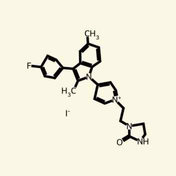 Cc1ccc2c(c1)c(-c1ccc(F)cc1)c(C)n2-c1cc[n+](CCN2CCNC2=O)cc1.[I-]